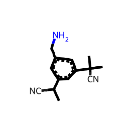 CC(C#N)c1cc(CN)cc(C(C)(C)C#N)c1